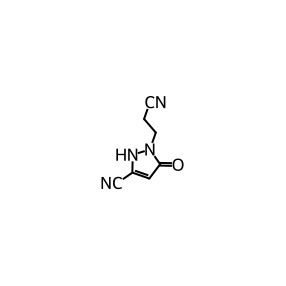 N#CCCn1[nH]c(C#N)cc1=O